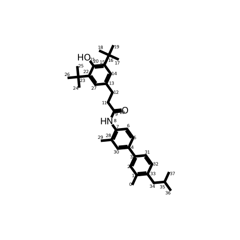 Cc1cc(-c2ccc(NC(=O)CCc3cc(C(C)(C)C)c(O)c(C(C)(C)C)c3)c(C)c2)ccc1CC(C)C